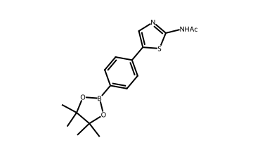 CC(=O)Nc1ncc(-c2ccc(B3OC(C)(C)C(C)(C)O3)cc2)s1